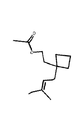 CC(=O)OCCC1(CC=C(C)C)CCC1